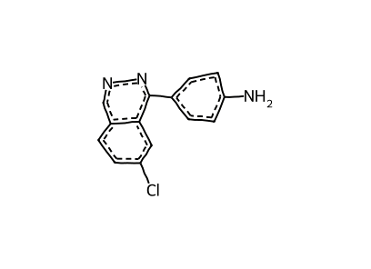 Nc1ccc(-c2nncc3ccc(Cl)cc23)cc1